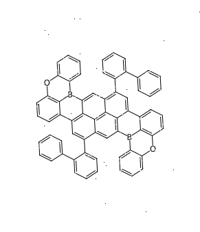 c1ccc(-c2ccccc2-c2cc3c4c(cc5c(-c6ccccc6-c6ccccc6)cc6c7c(cc2c4c57)B2c4ccccc4Oc4cccc-6c42)B2c4ccccc4Oc4cccc-3c42)cc1